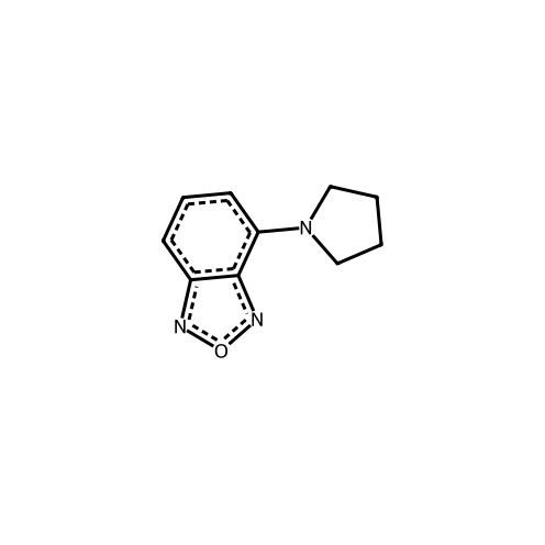 c1cc(N2CCCC2)c2nonc2c1